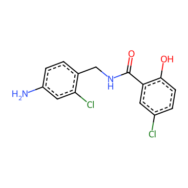 Nc1ccc(CNC(=O)c2cc(Cl)ccc2O)c(Cl)c1